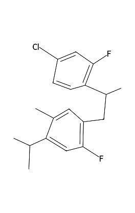 Cc1cc(CC(C)c2ccc(Cl)cc2F)c(F)cc1C(C)C